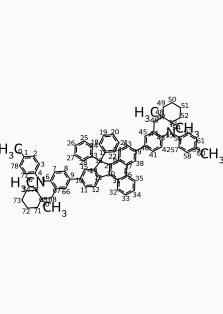 Cc1ccc(N2c3ccc(-c4ccc5c(c4)C(c4ccccc4)(c4ccccc4)c4c-5c5ccccc5c5cc(-c6ccc7c(c6)CC6(C)CCCCC6(C)N7c6ccc(C)cc6)ccc45)cc3CC3(C)CCCCC23C)cc1